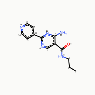 CCCNC(=O)c1cnc(-c2ccncc2)nc1N